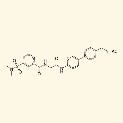 CC(=O)NCc1ccc(C2=CSC(NC(=O)CNC(=O)c3cccc(S(=O)(=O)N(C)C)c3)=C=C2)cc1